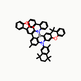 Cc1cc2c3c(c1)N(c1cc4c(cc1C)C(C)(C)CCC4(C)C)c1cc4c(cc1B3N(c1ccccc1-c1ccccc1)c1cc3oc5ccccc5c3cc1-2)C(C)(C)c1ccccc1O4